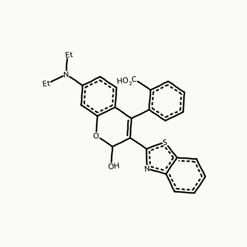 CCN(CC)c1ccc2c(c1)OC(O)C(c1nc3ccccc3s1)=C2c1ccccc1C(=O)O